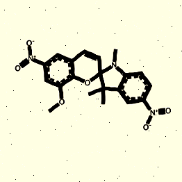 COc1cc([N+](=O)[O-])cc2c1OC1(C=C2)N(C)c2ccc([N+](=O)[O-])cc2C1(C)C